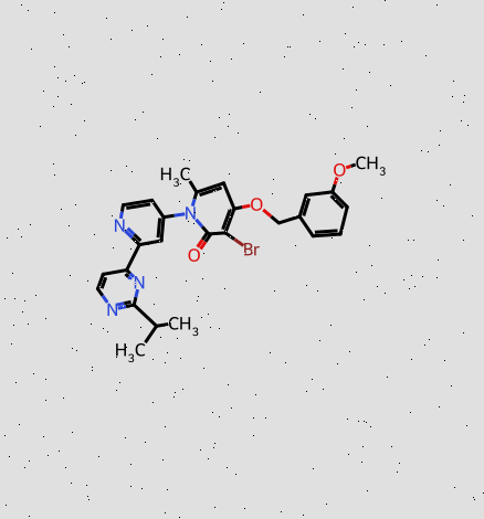 COc1cccc(COc2cc(C)n(-c3ccnc(-c4ccnc(C(C)C)n4)c3)c(=O)c2Br)c1